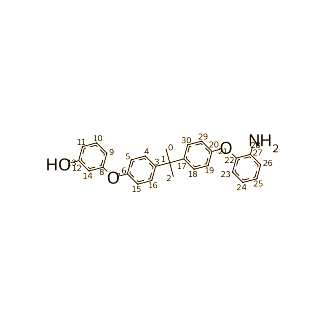 CC(C)(c1ccc(Oc2cccc(O)c2)cc1)c1ccc(Oc2ccccc2N)cc1